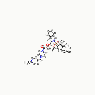 COc1cc(C)c(S(=O)(=O)N2Cc3ccccc3CC2COCC(=O)N2CCN(CC3CCN(C)CC3)CC2)c(C)c1C